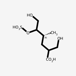 C[C@H](CC(CO)C(=O)O)C(CO)OS(=O)(=O)O